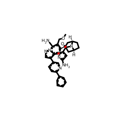 COCc1c([C@H]2C[C@H]3CC[C@@H](C2)N3C(=O)c2cc(N)n[nH]2)nc2c(-c3ccc(-c4ccccc4)nc3)cnn2c1N